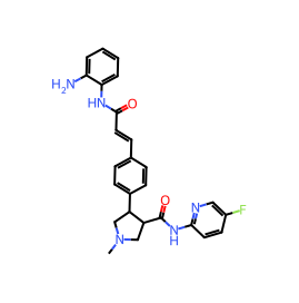 CN1CC(C(=O)Nc2ccc(F)cn2)C(c2ccc(/C=C/C(=O)Nc3ccccc3N)cc2)C1